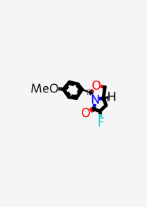 COc1ccc([C@H]2OC[C@@H]3CC(F)C(=O)N32)cc1